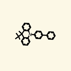 CC(C)(C)C1(C)c2ccccc2N(c2ccc(-c3ccccc3)cc2)c2ccccc21